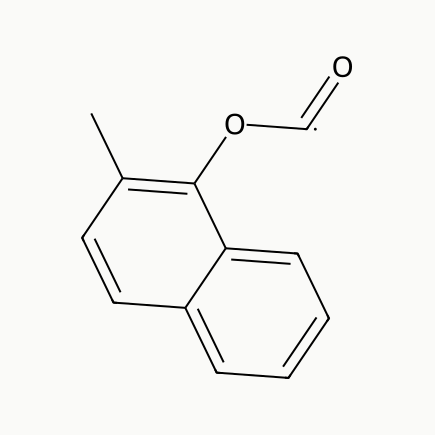 Cc1ccc2ccccc2c1O[C]=O